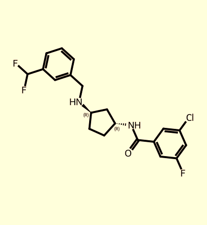 O=C(N[C@@H]1CC[C@@H](NCc2cccc(C(F)F)c2)C1)c1cc(F)cc(Cl)c1